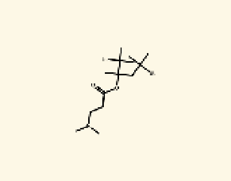 CCC(C)(C)CC(C)(OC(=O)CCN(C)C)C(C)(C)CC